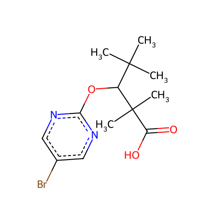 CC(C)(C)C(Oc1ncc(Br)cn1)C(C)(C)C(=O)O